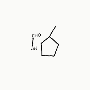 CC1CCCC1.O=CO